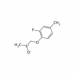 Cc1ccc(OC[S+](C)[O-])c(F)c1